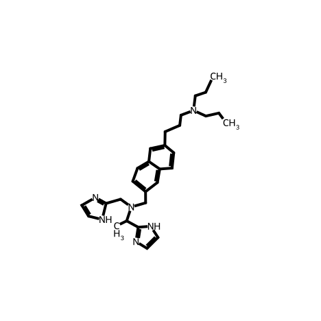 CCCN(CCC)CCCc1ccc2cc(CN(Cc3ncc[nH]3)C(C)c3ncc[nH]3)ccc2c1